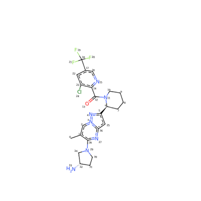 Cc1cn2nc([C@@H]3CCCCN3C(=O)c3ncc(C(F)(F)F)cc3Cl)cc2nc1N1CC[C@H](N)C1